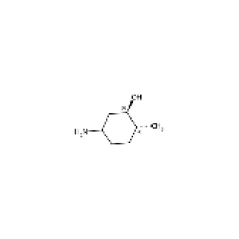 C[C@@H]1CCC(N)C[C@H]1O